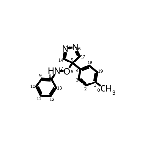 Cc1ccc(C2(ONc3ccccc3)C=NN=C2)cc1